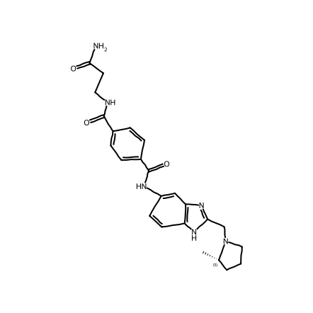 C[C@H]1CCCN1Cc1nc2cc(NC(=O)c3ccc(C(=O)NCCC(N)=O)cc3)ccc2[nH]1